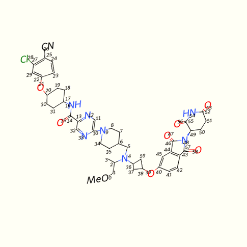 COCC(C)N(CC1CCN(c2cnc(C(=O)NC3CCC(Oc4ccc(C#N)c(Cl)c4)CC3)cn2)CC1)C1CC(Oc2ccc3c(c2)C(=O)N([C@@H]2CCC(=O)NC2=O)C3=O)C1